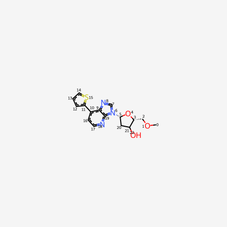 COC[C@H]1O[C@@H](n2cnc3c(-c4cccs4)ccnc32)CC1O